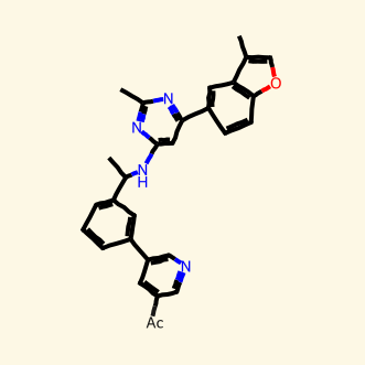 CC(=O)c1cncc(-c2cccc(C(C)Nc3cc(-c4ccc5occ(C)c5c4)nc(C)n3)c2)c1